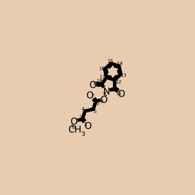 COC(=O)CCC(=O)ON1C(=O)c2ccccc2C1=O